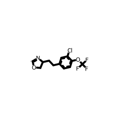 FC(F)(F)Oc1ccc(CCC2CO[C]=N2)cc1Cl